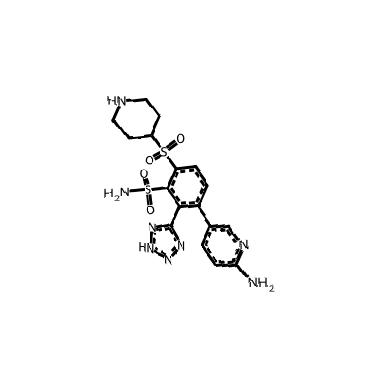 Nc1ccc(-c2ccc(S(=O)(=O)C3CCNCC3)c(S(N)(=O)=O)c2-c2nn[nH]n2)cn1